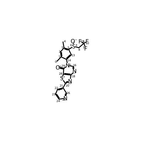 Cc1cc(C)c([S+]([O-])CC(F)(F)F)cc1-n1cnc2nc(-c3cccnc3)sc2c1=O